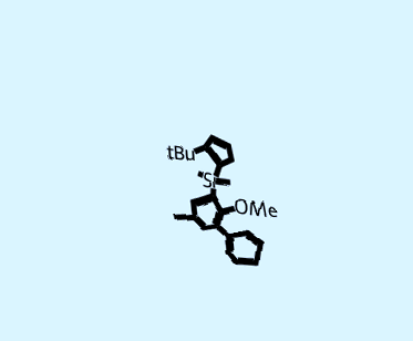 COc1c(-c2ccccc2)cc(C)cc1[Si](C)(C)C1=C(C(C)(C)C)C=CC1